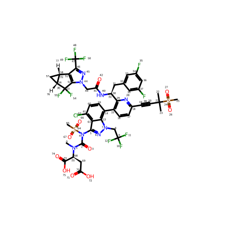 CN(C(=O)N(c1nn(CC(F)(F)F)c2c(-c3ccc(C#CC(C)(C)S(C)(=O)=O)nc3[C@H](Cc3cc(F)cc(F)c3)NC(=O)Cn3nc(C(F)(F)F)c4c3C(F)(F)[C@@H]3C[C@H]43)ccc(Cl)c12)S(C)(=O)=O)[C@@H](CC(=O)O)C(=O)O